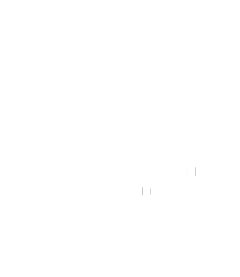 CCc1cc(C)cc(C)c1CCl